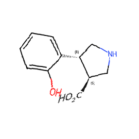 O=C(O)[C@@H]1CNC[C@H]1c1ccccc1O